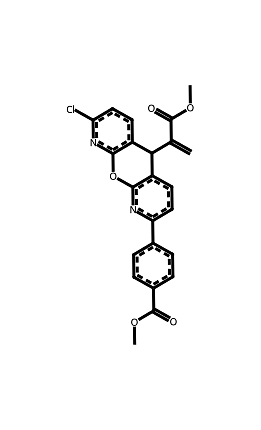 C=C(C(=O)OC)C1c2ccc(Cl)nc2Oc2nc(-c3ccc(C(=O)OC)cc3)ccc21